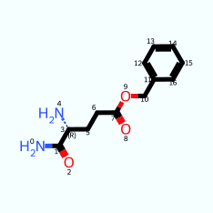 NC(=O)[C@H](N)CCC(=O)OCc1ccccc1